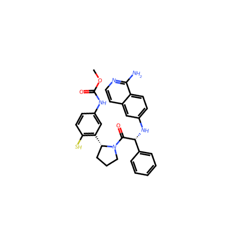 COC(=O)Nc1ccc(S)c([C@H]2CCCN2C(=O)[C@H](Nc2ccc3c(N)nccc3c2)c2ccccc2)c1